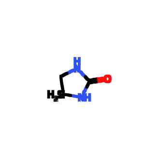 O=C1NC[SiH2]N1